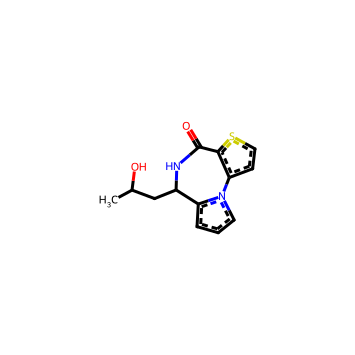 CC(O)CC1NC(=O)c2sccc2-n2cccc21